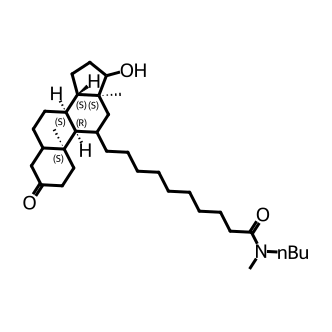 CCCCN(C)C(=O)CCCCCCCCCC1C[C@]2(C)C(O)CC[C@H]2[C@@H]2CCC3CC(=O)CC[C@]3(C)[C@H]12